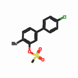 CCC(C)c1ccc(-c2ccc(Cl)cc2)cc1OS(C)(=O)=O